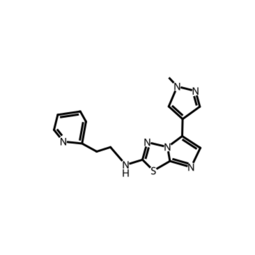 Cn1cc(-c2cnc3sc(NCCc4ccccn4)nn23)cn1